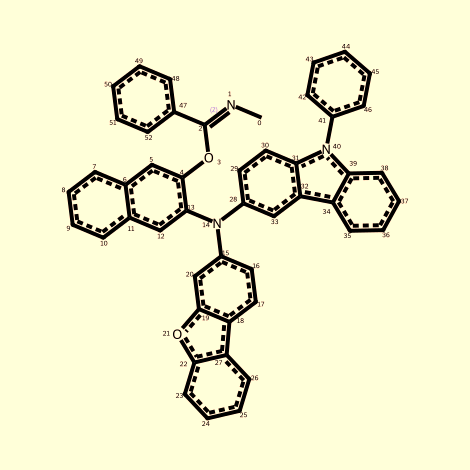 C/N=C(\Oc1cc2ccccc2cc1N(c1ccc2c(c1)oc1ccccc12)c1ccc2c(c1)c1ccccc1n2-c1ccccc1)c1ccccc1